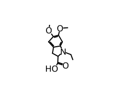 CCN1c2cc(OC)c(OC)cc2CC1C(=O)O